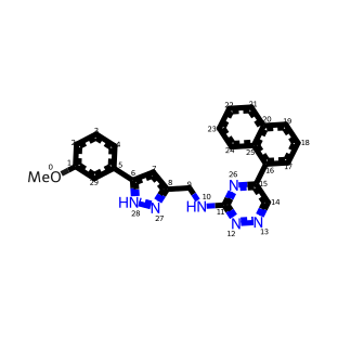 COc1cccc(-c2cc(CNc3nncc(-c4cccc5ccccc45)n3)n[nH]2)c1